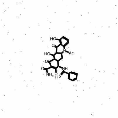 CC(=O)N1c2cccc(O)c2C(=O)C2C(O)C3C(=O)C(C(N)=O)=C(O)C(NC(=S)c4ccccc4)C3CC21